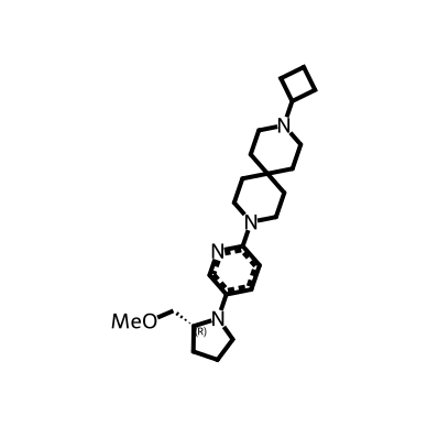 COC[C@H]1CCCN1c1ccc(N2CCC3(CC2)CCN(C2CCC2)CC3)nc1